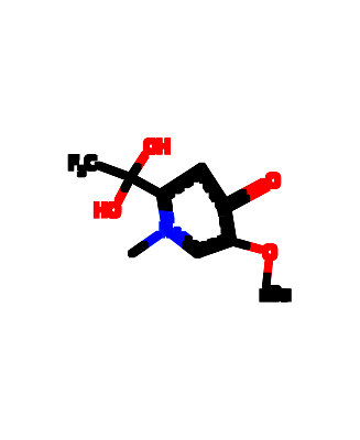 CCCCOc1cn(C)c(C(O)(O)C(F)(F)F)cc1=O